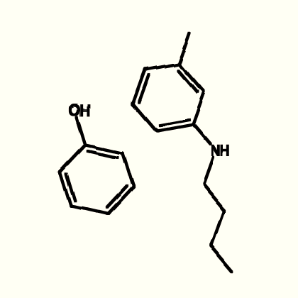 CCCCNc1cccc(C)c1.Oc1ccccc1